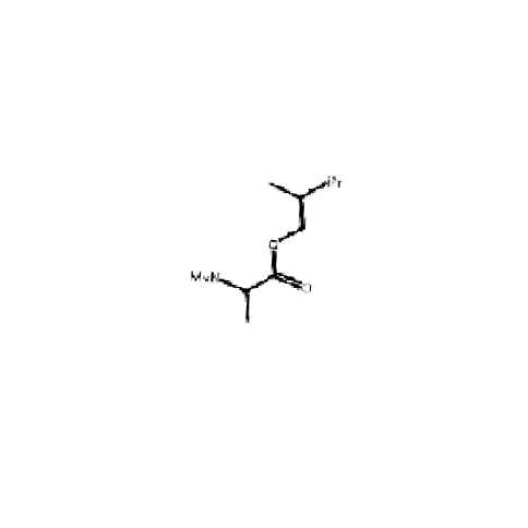 CNC(C)C(=O)OCC(C)C(C)C